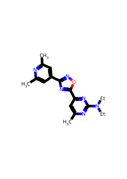 CCN(CC)c1nc(C)cc(-c2nc(-c3cc(C)nc(C)c3)no2)n1